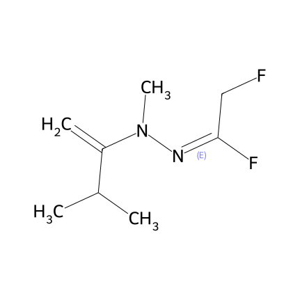 C=C(C(C)C)N(C)/N=C(/F)CF